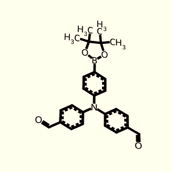 CC1(C)OB(c2ccc(N(c3ccc(C=O)cc3)c3ccc(C=O)cc3)cc2)OC1(C)C